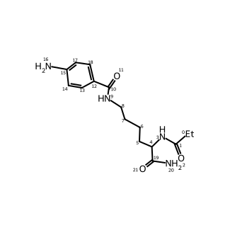 CCC(=O)NC(CCCCNC(=O)c1ccc(N)cc1)C(N)=O